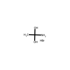 Br.CC(N)(O)O